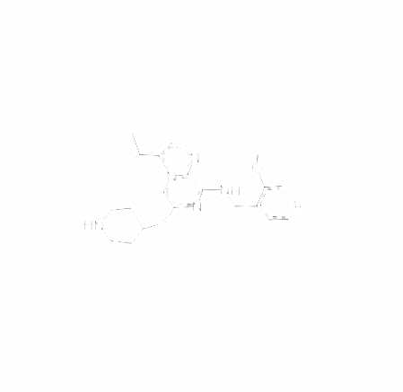 COc1ccccc1CNc1nc(SC2CCNCC2)cn2c(C(C)C)cnc12